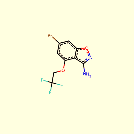 Nc1noc2cc(Br)cc(OCC(F)(F)F)c12